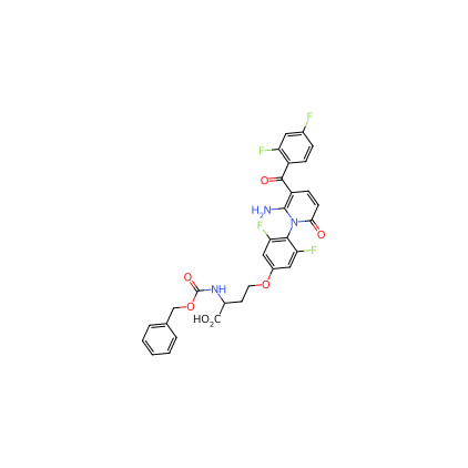 Nc1c(C(=O)c2ccc(F)cc2F)ccc(=O)n1-c1c(F)cc(OCCC(NC(=O)OCc2ccccc2)C(=O)O)cc1F